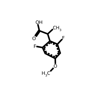 COc1cc(F)c(C(C)C(=O)O)c(F)c1